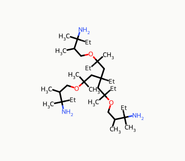 CCC(CC(C)(C)OCC(C)C(C)(N)CC)(CC(C)(CC)OCC(C)C(C)(N)CC)CC(C)(CC)OCC(C)C(C)(N)CC